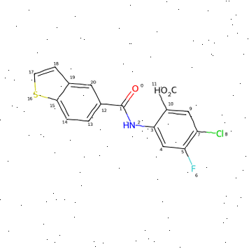 O=C(Nc1cc(F)c(Cl)cc1C(=O)O)c1ccc2sccc2c1